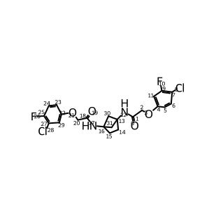 O=C(COc1ccc(Cl)c(F)c1)NC12CCC(NC(=O)COc3ccc(F)c(Cl)c3)(C1)C2